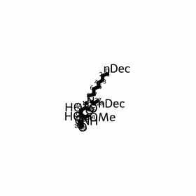 CCCCCCCCCCCCCCCCCCN(C[C@H]1O[C@H](OC)[C@@H](NS(C)(=O)=O)[C@@H](O)[C@@H]1O)C(=O)CCCCCCCCCCC